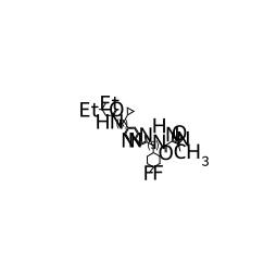 CCC(CC)CC(=O)N[C@@H](c1cnn2cc([C@@H](NC(=O)c3nonc3C)C3CCC(F)(F)CC3)nc2c1)C1CC1